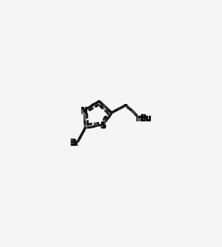 CCCCCc1cnc(Br)s1